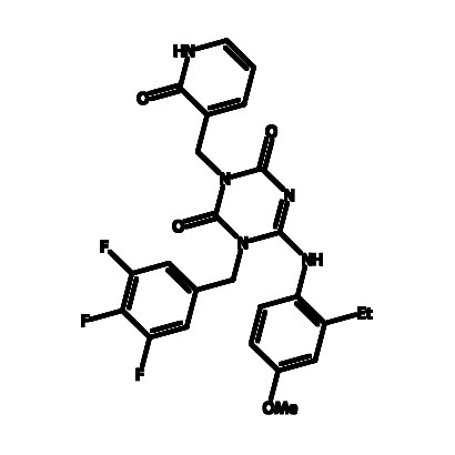 CCc1cc(OC)ccc1Nc1nc(=O)n(Cc2ccc[nH]c2=O)c(=O)n1Cc1cc(F)c(F)c(F)c1